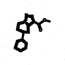 COC(=O)c1nnn2ccc(-c3ccccc3)cc12